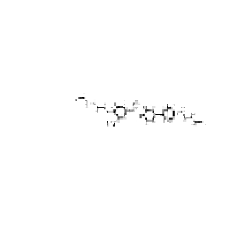 CCCCCCCc1ccc(C(=O)Oc2ccc(-c3ncc(CCCCC)cn3)cc2)cc1Br